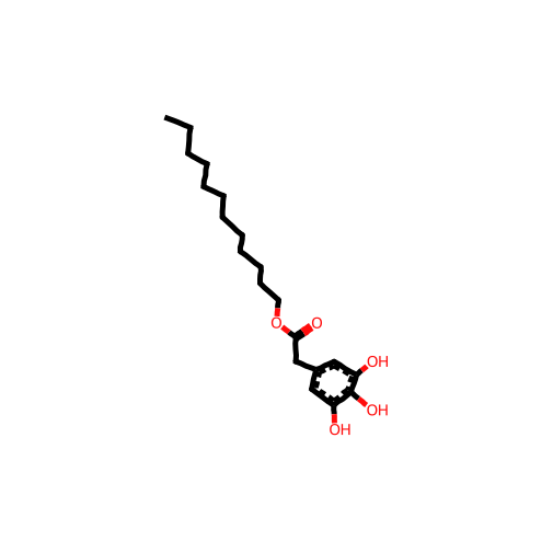 CCCCCCCCCCCCOC(=O)Cc1cc(O)c(O)c(O)c1